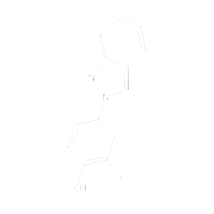 Cc1ccc(-n2cc3ccccc3n2)cc1Cl